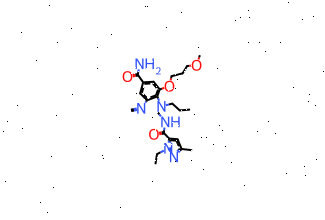 C=Nc1cc(C(N)=O)cc(OCCCOC)c1N(CCC)CNC(=O)c1cc(C)nn1CC